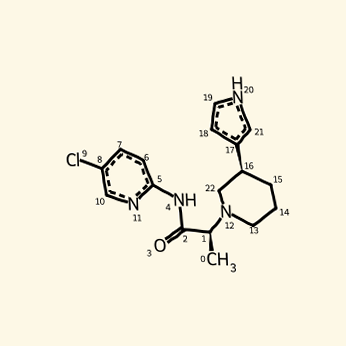 C[C@@H](C(=O)Nc1ccc(Cl)cn1)N1CCC[C@H](c2cc[nH]c2)C1